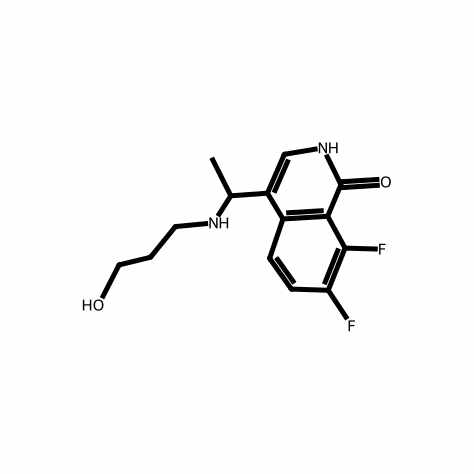 CC(NCCCO)c1c[nH]c(=O)c2c(F)c(F)ccc12